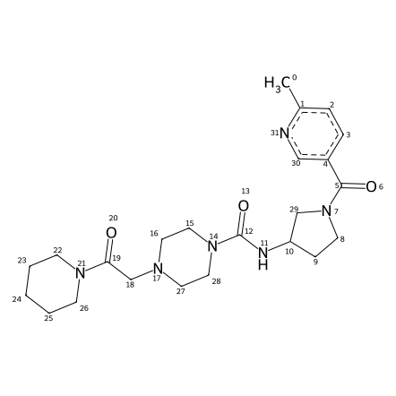 Cc1ccc(C(=O)N2CCC(NC(=O)N3CCN(CC(=O)N4CCCCC4)CC3)C2)cn1